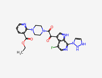 CCOC(=O)c1cccnc1N1CCN(C(=O)C(=O)c2c[nH]c3c(N4C=CNN4)ncc(F)c23)CC1